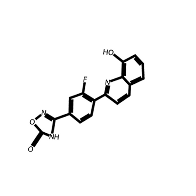 O=c1[nH]c(-c2ccc(-c3ccc4cccc(O)c4n3)c(F)c2)no1